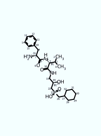 CC(C)[C@@H]([AsH]C(=O)[C@@H](N)Cc1ccccc1)C(=O)NC[C@@H](O)CP(=O)(O)CC1CCCCC1